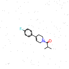 CC(C)C(=O)N1CC=C(c2ccc(F)cc2)CC1